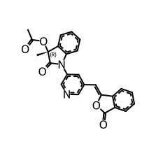 CC(=O)O[C@@]1(C)C(=O)N(c2cncc(C=C3OC(=O)c4ccccc43)c2)c2ccccc21